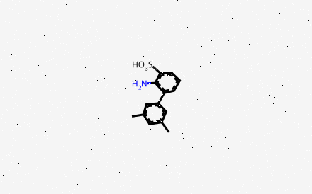 Cc1cc(C)cc(-c2cccc(S(=O)(=O)O)c2N)c1